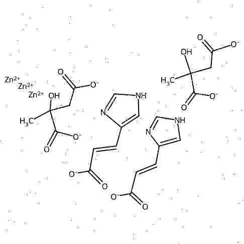 CC(O)(CC(=O)[O-])C(=O)[O-].CC(O)(CC(=O)[O-])C(=O)[O-].O=C([O-])C=Cc1c[nH]cn1.O=C([O-])C=Cc1c[nH]cn1.[Zn+2].[Zn+2].[Zn+2]